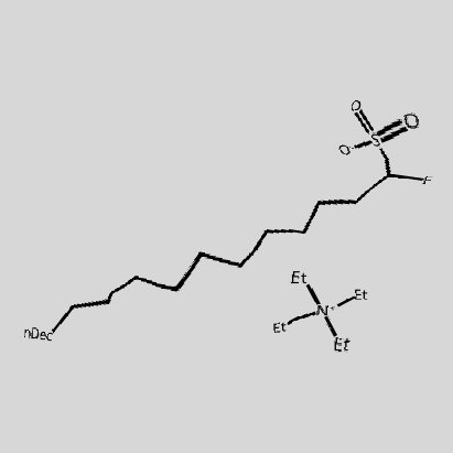 CCCCCCCCCCCCCCCCCCCCC(F)S(=O)(=O)[O-].CC[N+](CC)(CC)CC